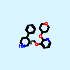 c1ccc(C2CCNC[C@H]2COc2cccnc2OC2CCOCC2)cc1